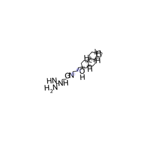 C[C@@]12CCC[C@H]1[C@@H]1CC[C@@H]3C[C@](O)(/C=C/C=N/OCCNC(=N)N)CC[C@]3(C)[C@H]1CC2